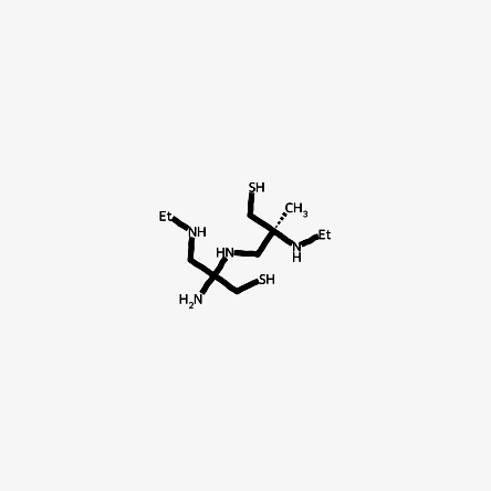 CCNCC(N)(CS)NC[C@@](C)(CS)NCC